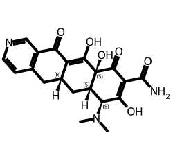 CN(C)[C@@H]1C(O)=C(C(N)=O)C(=O)[C@@]2(O)C(O)=C3C(=O)c4cnccc4C[C@H]3C[C@@H]12